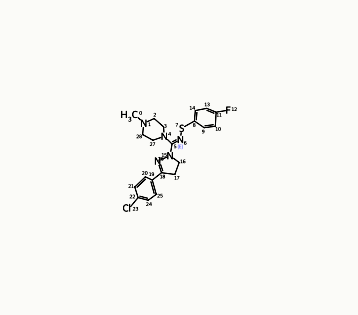 CN1CCN(/C(=N\Sc2ccc(F)cc2)N2CCC(c3ccc(Cl)cc3)=N2)CC1